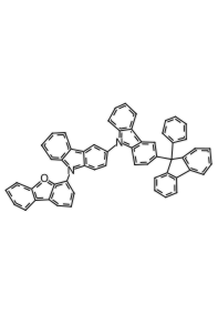 c1ccc(C2(c3ccc4c(c3)c3ccccc3n4-c3ccc4c(c3)c3ccccc3n4-c3cccc4c3oc3ccccc34)c3ccccc3-c3ccccc32)cc1